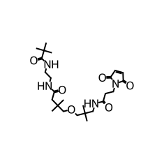 CC(C)(CNC(=O)CCN1C(=O)C=CC1=O)COCC(C)(C)CC(=O)NCCNC(=O)C(C)(C)C